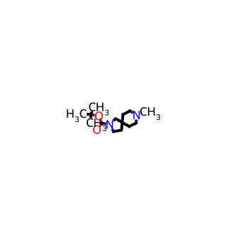 CN1CCC2(CC1)CCN(C(=O)OC(C)(C)C)C2